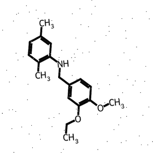 CCOc1cc(CNc2cc(C)ccc2C)ccc1OC